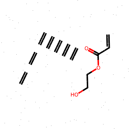 C=C.C=C.C=C.C=C.C=C.C=C.C=C.C=CC(=O)OCCO